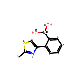 Cc1nc(-c2ccccc2B(O)O)cs1